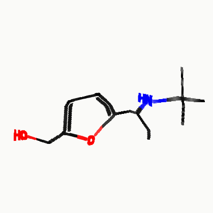 CC(NC(C)(C)C)c1ccc(CO)o1